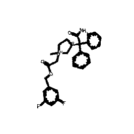 C[N+]1(CC(=O)OCc2cc(F)cc(F)c2)CC[C@@H](C(C(N)=O)(c2ccccc2)c2ccccc2)C1